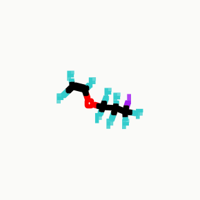 FC(F)=C(F)OC(F)(F)C(F)(F)C(F)(F)I